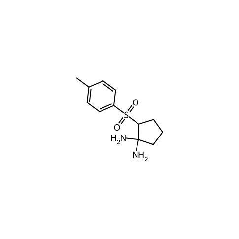 Cc1ccc(S(=O)(=O)C2CCCC2(N)N)cc1